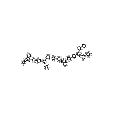 c1ccc(-c2cccc(-c3cc(-c4ccc(-c5ccc(-c6nc7c(nc8cc(-c9ccc(-c%10cccc(-c%11cc(-c%12ccc(-c%13ccc(-c%14nc%15c(nc%16ccccn%16%15)c%15ccccc%14%15)cc%13)cc%12)nc(-c%12ccccc%12)n%11)c%10)cc9)ccn87)c7ccccc67)cc5)cc4)nc(-c4cccc(-c5ccccc5)c4)n3)c2)cc1